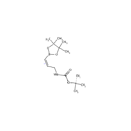 CC(C)(C)OC(=O)NC/C=C\B1OC(C)(C)C(C)(C)O1